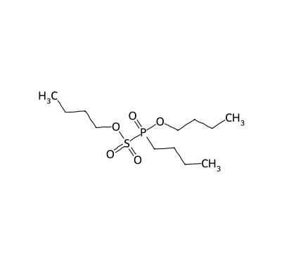 CCCCOP(=O)(CCCC)S(=O)(=O)OCCCC